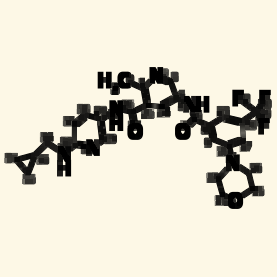 Cc1ncc(NC(=O)c2cc(N3CCOCC3)cc(C(F)(F)F)c2)cc1C(=O)Nc1ccc(NCC2CC2)nc1